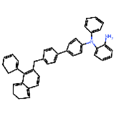 Nc1ccccc1N(c1ccccc1)c1ccc(-c2ccc(Cc3ccc4c(c3C3=CC=CCC3)=CCCC=4)cc2)cc1